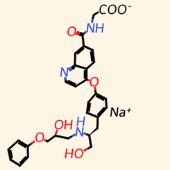 O=C([O-])CNC(=O)c1ccc2c(Oc3ccc(C[C@@H](CO)NC[C@H](O)COc4ccccc4)cc3)ccnc2c1.[Na+]